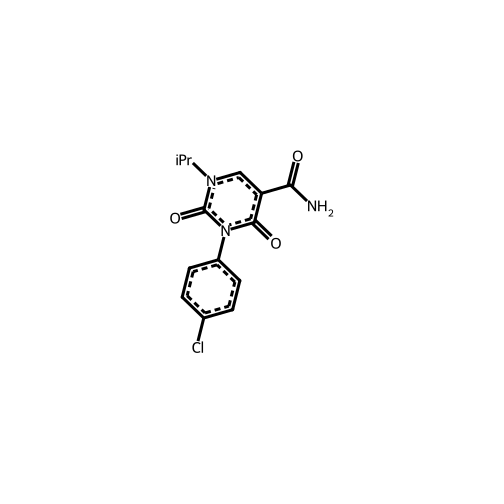 CC(C)n1cc(C(N)=O)c(=O)n(-c2ccc(Cl)cc2)c1=O